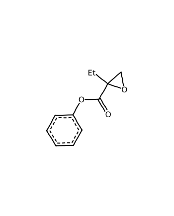 CCC1(C(=O)Oc2ccccc2)CO1